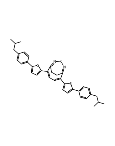 CC(C)Cc1ccc(-c2ccc(/C3=C/C=C(/c4ccc(-c5ccc(CC(C)C)cc5)s4)C4=NSN=C3CC4)s2)cc1